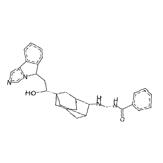 O=C(NCNC1C2CC3CC1CC(C(O)CC1c4ccccc4-c4cncn41)(C3)C2)c1ccccc1